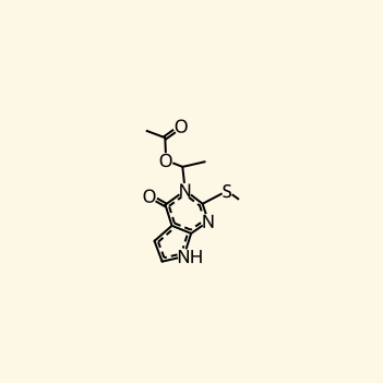 CSc1nc2[nH]ccc2c(=O)n1C(C)OC(C)=O